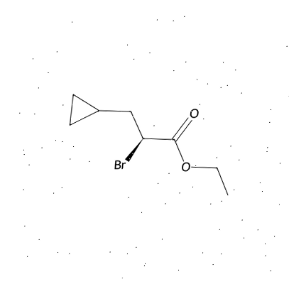 CCOC(=O)[C@@H](Br)CC1CC1